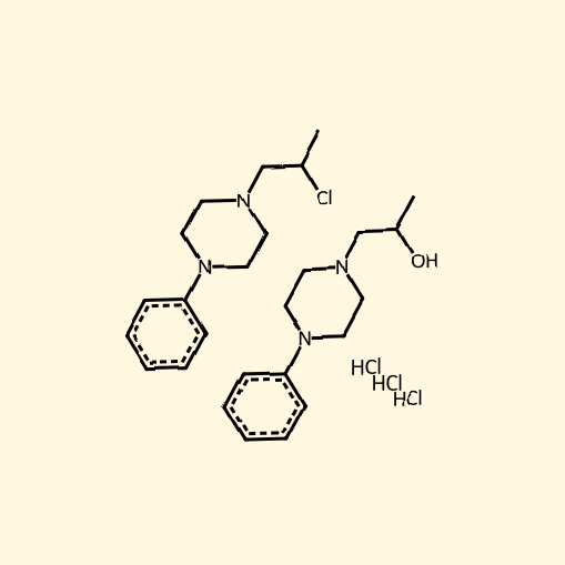 CC(Cl)CN1CCN(c2ccccc2)CC1.CC(O)CN1CCN(c2ccccc2)CC1.Cl.Cl.Cl